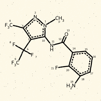 Cn1nc(C(F)(F)F)c(C(F)(F)C(F)(F)F)c1NC(=O)c1cccc(N)c1F